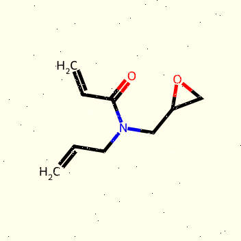 C=CCN(CC1CO1)C(=O)C=C